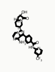 Nc1nccn2c([C@H]3CC[C@@H]4C[C@@H](O)C(=O)N4C3)nc(-c3ccc(C(=O)Nc4cc(C(F)(F)F)ccn4)cc3)c12